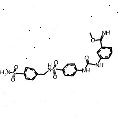 COC(=N)c1cccc(NC(=O)Nc2ccc(S(=O)(=O)NCc3ccc(S(N)(=O)=O)cc3)cc2)c1